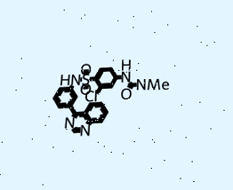 CNC(=O)NC1C=C(Cl)C(S(=O)(=O)Nc2cccc(-c3ncnc4ccccc34)c2)=CC1